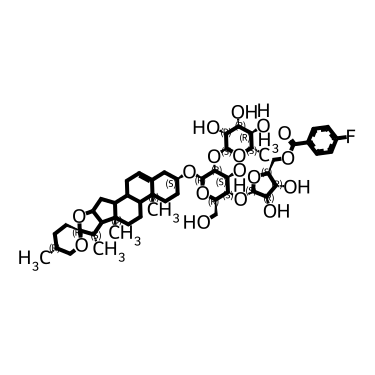 C[C@@H]1CC[C@@]2(OC1)OC1CC3C4CC=C5C[C@@H](O[C@@H]6O[C@H](CO)[C@@H](O[C@@H]7O[C@@H](COC(=O)c8ccc(F)cc8)[C@H](O)[C@H]7O)[C@H](O)[C@H]6O[C@@H]6O[C@@H](C)[C@H](O)[C@@H](O)[C@H]6O)CC[C@]5(C)C4CC[C@]3(C)C1[C@@H]2C